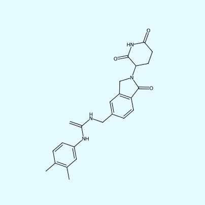 C=C(NCc1ccc2c(c1)CN(C1CCC(=O)NC1=O)C2=O)Nc1ccc(C)c(C)c1